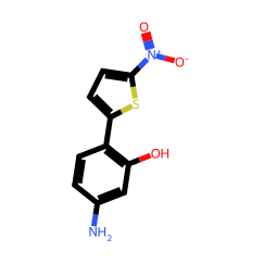 Nc1ccc(-c2ccc([N+](=O)[O-])s2)c(O)c1